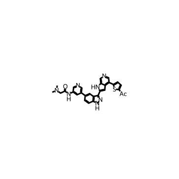 CC(=O)c1ccc(-c2cncc3[nH]c(-c4n[nH]c5ccc(-c6cncc(NC(=O)CN(C)C)c6)cc45)cc23)s1